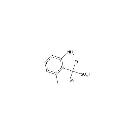 CCCC(CC)(c1c(C)cccc1N)S(=O)(=O)O